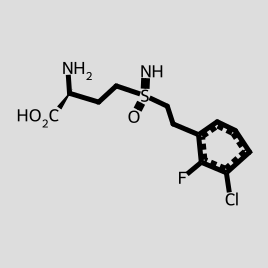 N=S(=O)(CCc1cccc(Cl)c1F)CC[C@H](N)C(=O)O